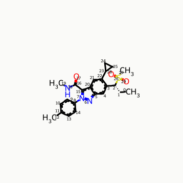 CC[C@H](c1cc2nn(-c3ccc(C)cc3)c(C(=O)NC)c2cc1C1CC1)S(C)(=O)=O